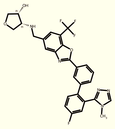 Cn1cnnc1-c1cc(F)ccc1-c1cccc(-c2nc3cc(CN[C@@H]4COC[C@@H]4O)cc(C(F)(F)F)c3o2)c1